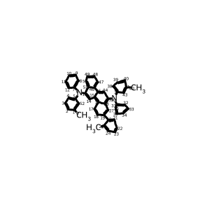 Cc1cccc(N(c2ccccc2)c2cc3c4ccc(-c5ccccc5C)cc4c(N(c4ccccc4)c4cccc(C)c4)cc3c3ccccc23)c1